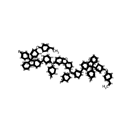 C=CC1=CCC(OC2C=CC(C3(C4C=CC(F)=CC4)C4C=CC=CC4C4CCC(C5C=C(N(C6=CC7C(C=C6)OC6CCC(N(C8=CCCC(c9ccc%10c(c9)C(c9ccc(F)cc9)(C9C=CC(Oc%11ccc(C=C)cc%11)=CC9)c9ccccc9-%10)=C8)C8=CC=C(F)CC8)=CC67)C6=CC=C(F)CC6)C=CC5)=CC43)=CC2)C=C1